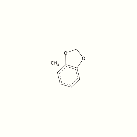 C.c1ccc2c(c1)OCO2